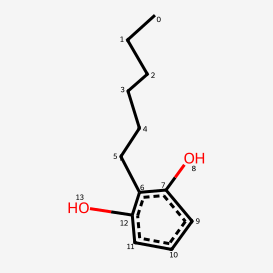 CCCCC[CH]c1c(O)cccc1O